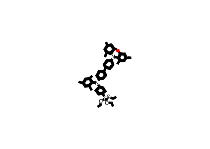 CCO[Si](OCC)(OCC)c1ccc(N(c2ccc(-c3ccc(N(c4c(C)cc(C)cc4C)c4c(C)cc(C)cc4C)cc3)cc2)c2c(C)cc(C)cc2C)cc1